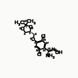 CC1(C)OC[C@@H](COc2cc(Cl)c(/C(N)=N/O)cc2Cl)O1